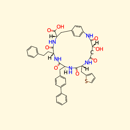 O=C1C[C@@H](O)C(=O)Nc2ccc(cc2)C[C@@H](C(=O)O)NC(=O)[C@@H](CCc2ccccc2)NC(=O)[C@H](Cc2ccc(-c3ccccc3)cc2)NC(=O)[C@@H](Cc2cccs2)N1